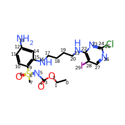 CCOC(=O)N=S(C)(=O)c1ccc(N)cc1NCCCCNc1nc(Cl)ncc1I